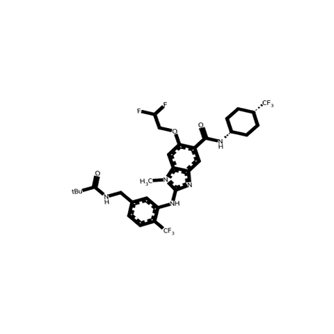 Cn1c(Nc2cc(CNC(=O)C(C)(C)C)ccc2C(F)(F)F)nc2cc(C(=O)N[C@H]3CC[C@@H](C(F)(F)F)CC3)c(OCC(F)F)cc21